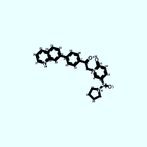 O=C(Cn1cc([S+]([O-])N2CCCC2)ccc1=O)c1ccc(-c2ccc3cccnc3c2)cc1